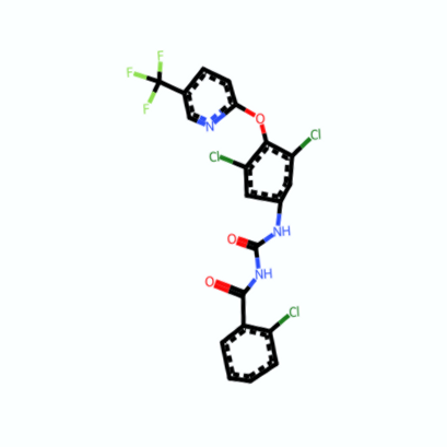 O=C(NC(=O)c1ccccc1Cl)Nc1cc(Cl)c(Oc2ccc(C(F)(F)F)cn2)c(Cl)c1